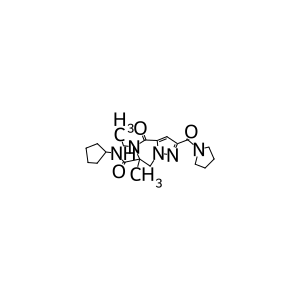 CCN1C(=O)c2cc(C(=O)N3CCCC3)nn2CC1(C)C(=O)NC1CCCC1